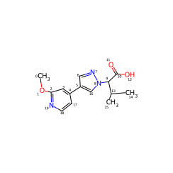 COc1cc(-c2cnn(C(C(=O)O)C(C)C)c2)ccn1